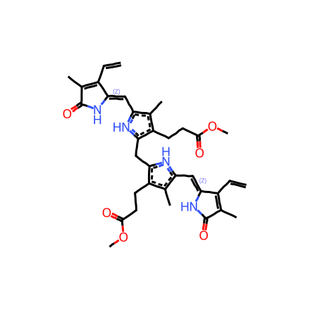 C=CC1=C(C)C(=O)N/C1=C\c1[nH]c(Cc2[nH]c(/C=C3\NC(=O)C(C)=C3C=C)c(C)c2CCC(=O)OC)c(CCC(=O)OC)c1C